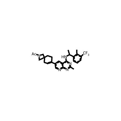 CC(=O)N1CC2(CC=C(c3cnc4nc(C)nc(NC(C)c5cccc(C(F)(F)F)c5C)c4c3)CC2)C1